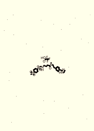 CN(CCc1ccc(C2=NCCN2)cc1)C(=O)CCCNCS(=O)(=O)c1ccc(S(C)(=O)=O)cc1.O=C(O)C(F)(F)F